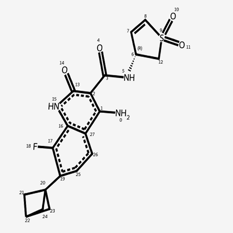 Nc1c(C(=O)N[C@@H]2C=CS(=O)(=O)C2)c(=O)[nH]c2c(F)c(C34CC(C3)C4)ccc12